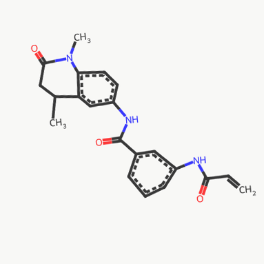 C=CC(=O)Nc1cccc(C(=O)Nc2ccc3c(c2)C(C)CC(=O)N3C)c1